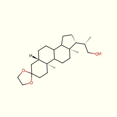 C[C@H](CO)[C@H]1CCC2C3CC[C@H]4CC5(CC[C@]4(C)C3CC[C@@]21C)OCCO5